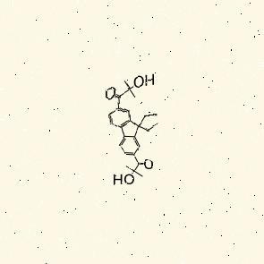 CCC1(CC)c2cc(C(=O)C(C)(C)O)ccc2-c2ccc(C(=O)C(C)(C)O)cc21